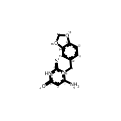 Nc1cc(=O)[nH]c(=S)n1Cc1ccc2c(c1)OCO2